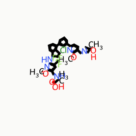 COc1nc(-c2cccc(-c3cccc4c3CC[C@@H]4Nc3nc(OC)c(CN[C@@H](C)C(=O)O)cc3C(F)(F)F)c2Cl)ccc1CN1CC(C)(O)C1